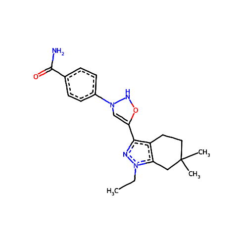 CCn1nc(C2=CN(c3ccc(C(N)=O)cc3)NO2)c2c1CC(C)(C)CC2